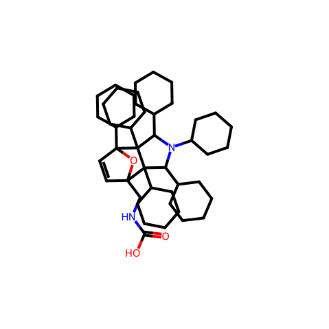 O=C(O)NCC12C=CC(C3CCCCC3)(O1)C1(C3CCCCC3)C(C3CCCCC3)N(C3CCCCC3)C(C3CCCCC3)C21C1CCCCC1